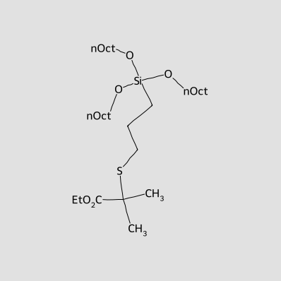 CCCCCCCCO[Si](CCCSC(C)(C)C(=O)OCC)(OCCCCCCCC)OCCCCCCCC